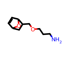 NCCCOCC1CC2C=CC1O2